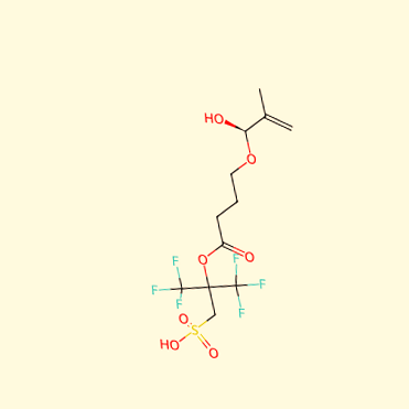 C=C(C)[C@H](O)OCCCC(=O)OC(CS(=O)(=O)O)(C(F)(F)F)C(F)(F)F